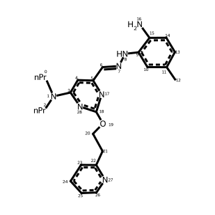 CCCN(CCC)c1cc(/C=N/Nc2cc(C)ccc2N)nc(OCCc2ccccn2)n1